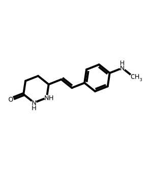 CNc1ccc(/C=C/C2CCC(=O)NN2)cc1